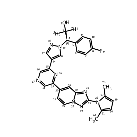 [2H]C([2H])(O)[C@@H](c1ccc(F)cc1)n1cc(-c2cncc(-c3ccn4nc(-n5c(C)ccc5C)nc4c3)n2)cn1